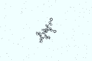 CC(C)(C)OC(=O)CN1CCN(CC(=O)N[C@@H](CCC(=O)CCC(=O)OCc2ccccc2)C(=O)NCC(=O)OCc2ccccc2)CCN(CC(=O)OC(C)(C)C)CCN(CC(=O)OC(C)(C)C)CC1